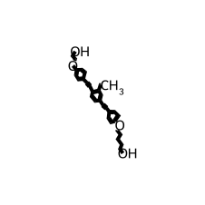 CCc1cc(C#Cc2ccc(OCCCCCO)cc2)ccc1C#Cc1ccc(OCCO)cc1